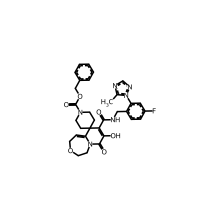 Cc1ncnn1-c1cc(F)ccc1CNC(=O)C1=C(O)C(=O)N2CCOCC=C2C12CCN(C(=O)OCc1ccccc1)CC2